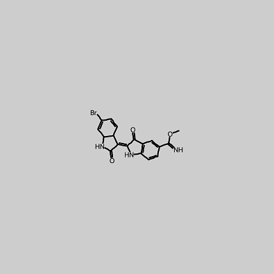 COC(=N)c1ccc2c(c1)C(=O)/C(=C1/C(=O)NC3C=C(Br)C=CC13)N2